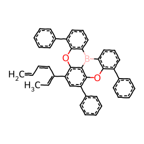 C=C/C=C\C(=C/C)c1cc(-c2ccccc2)c2c3c1Oc1c(cccc1-c1ccccc1)B3c1cccc(-c3ccccc3)c1O2